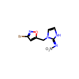 O=[N+]([O-])N=c1[nH]ccn1Cc1cc(Br)no1